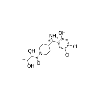 CC(O)C(O)C(=O)N1CCC([C@@H](N)c2cc(Cl)c(Cl)cc2O)CC1